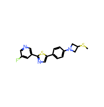 CSC1CN(c2ccc(-c3cnc(-c4cncc(F)c4)s3)cc2)C1